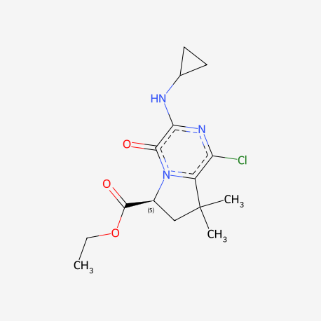 CCOC(=O)[C@@H]1CC(C)(C)c2c(Cl)nc(NC3CC3)c(=O)n21